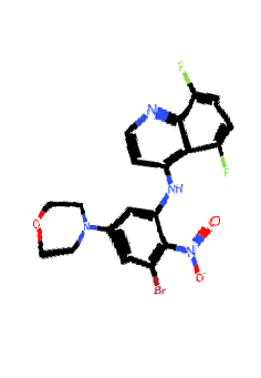 O=[N+]([O-])c1c(Br)cc(N2CCOCC2)cc1Nc1ccnc2c(F)ccc(F)c12